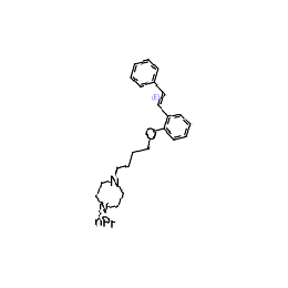 CCCN1CCN(CCCCOc2ccccc2/C=C/c2ccccc2)CC1